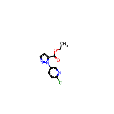 CCOC(=O)c1ccnn1-c1ccc(Cl)nc1